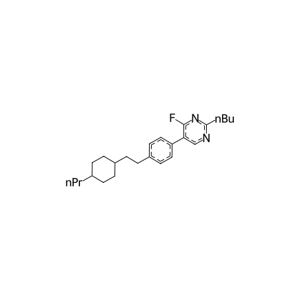 CCCCc1ncc(-c2ccc(CCC3CCC(CCC)CC3)cc2)c(F)n1